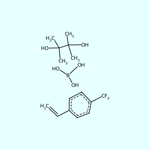 C=Cc1ccc(C(F)(F)F)cc1.CC(C)(O)C(C)(C)O.OB(O)O